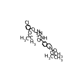 CC(C)COc1ccc(Cl)cc1OCc1nnc(NC(=O)c2ccc3c(c2)CCN(C(=O)OC(C)(C)C)C3)s1